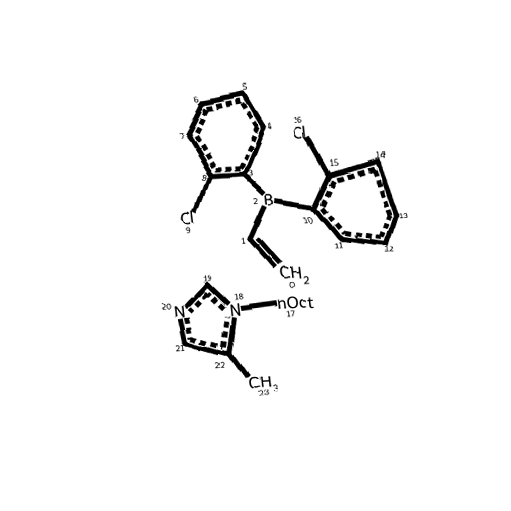 C=CB(c1ccccc1Cl)c1ccccc1Cl.CCCCCCCCn1cncc1C